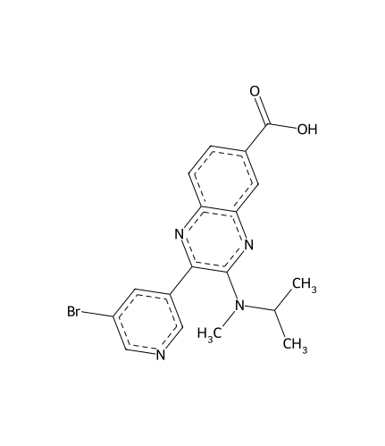 CC(C)N(C)c1nc2cc(C(=O)O)ccc2nc1-c1cncc(Br)c1